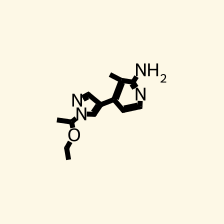 CCOC(C)n1cc(-c2ccnc(N)c2C)cn1